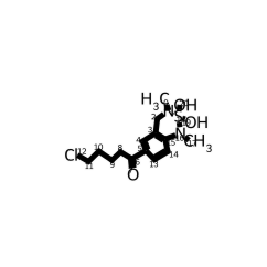 CN1Cc2cc(C(=O)CCCCCl)ccc2N(C)S1(O)O